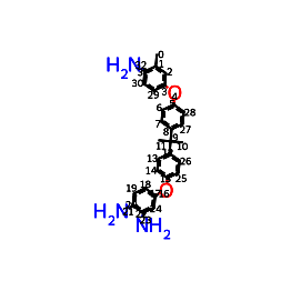 Cc1cc(Oc2ccc(C(C)(C)c3ccc(Oc4ccc(N)c(N)c4)cc3)cc2)ccc1N